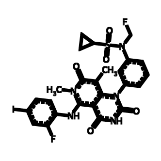 Cc1c(=O)n(C)c(Nc2ccc(I)cc2F)c2c(=O)[nH]c(=O)n(-c3cccc(N(CF)S(=O)(=O)C4CC4)c3)c12